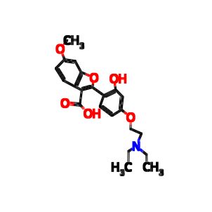 CCN(CC)CCOc1ccc(-c2oc3cc(OC)ccc3c2C(=O)O)c(O)c1